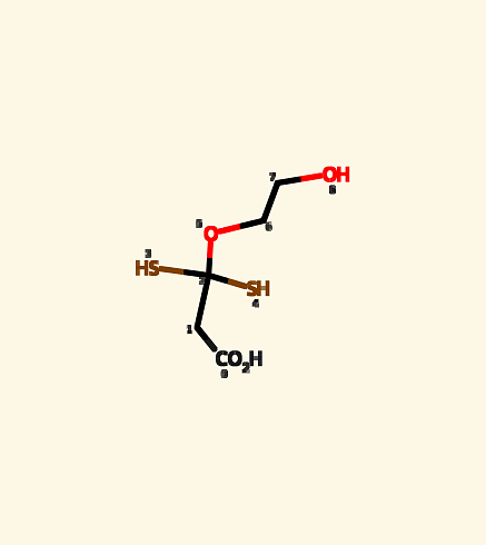 O=C(O)CC(S)(S)OCCO